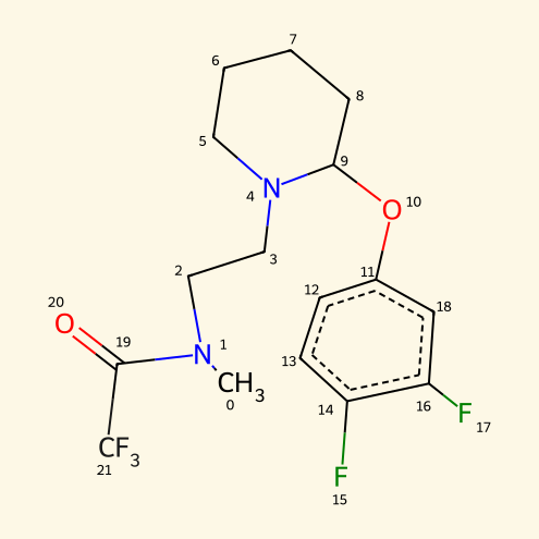 CN(CCN1CCCCC1Oc1ccc(F)c(F)c1)C(=O)C(F)(F)F